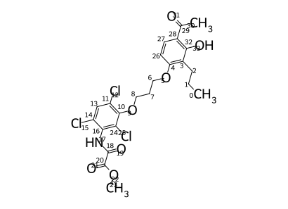 CCCc1c(OCCCOc2c(Cl)cc(Cl)c(NC(=O)C(=O)OC)c2Cl)ccc(C(C)=O)c1O